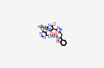 CCCCc1nc(=O)c(-c2nnc(Cc3noc4ccccc34)o2)c(O)n1-c1c(OC)ncnc1OC